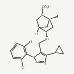 O=C(O)N1C[C@@H]2C[C@H]1C[C@H]2OCc1c(C2CC2)nnn1-c1c(Cl)cccc1Cl